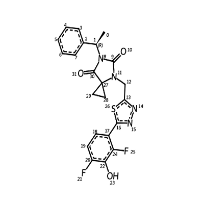 C[C@H](c1ccccc1)N1C(=O)N(Cc2nnc(-c3ccc(F)c(O)c3F)s2)C2(CC2)C1=O